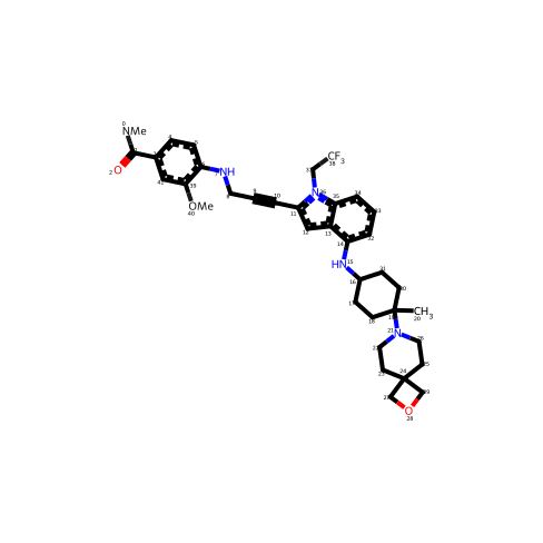 CNC(=O)c1ccc(NCC#Cc2cc3c(NC4CCC(C)(N5CCC6(CC5)COC6)CC4)cccc3n2CC(F)(F)F)c(OC)c1